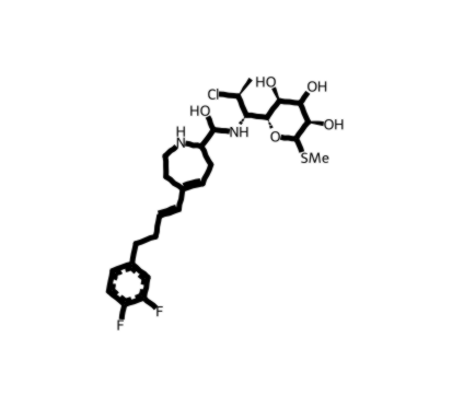 CSC1O[C@H]([C@H](NC(O)C2CC=C(/C=C/CCc3ccc(F)c(F)c3)CCN2)[C@H](C)Cl)[C@@H](O)C(O)[C@H]1O